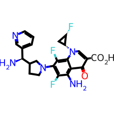 Nc1c(F)c(N2CCC([C@@H](N)c3cccnc3)C2)c(F)c2c1c(=O)c(C(=O)O)cn2[C@@H]1C[C@@H]1F